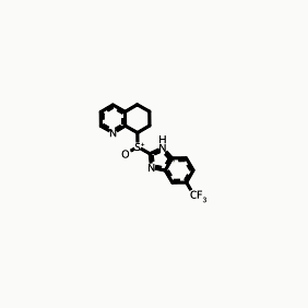 [O-][S+](c1nc2cc(C(F)(F)F)ccc2[nH]1)C1CCCc2cccnc21